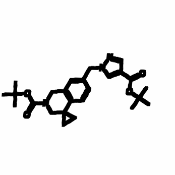 CC(C)(C)OC(=O)c1cnn(Cc2ccc3c(c2)CN(C(=O)OC(C)(C)C)CC32CC2)c1